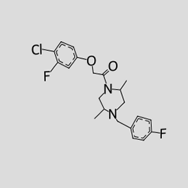 CC1CN(C(=O)COc2ccc(Cl)c(F)c2)C(C)CN1Cc1ccc(F)cc1